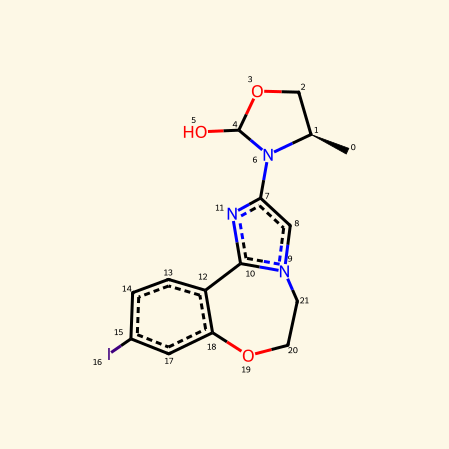 C[C@@H]1COC(O)N1c1cn2c(n1)-c1ccc(I)cc1OCC2